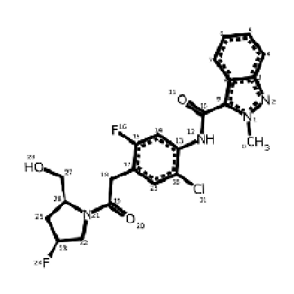 Cn1nc2ccccc2c1C(=O)Nc1cc(F)c(CC(=O)N2C[C@@H](F)C[C@H]2CO)cc1Cl